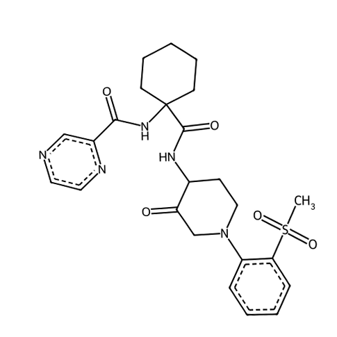 CS(=O)(=O)c1ccccc1N1CCC(NC(=O)C2(NC(=O)c3cnccn3)CCCCC2)C(=O)C1